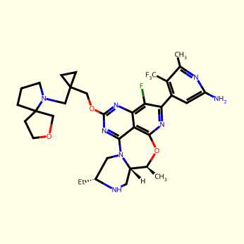 CC[C@@H]1CN2c3nc(OCC4(CN5CCCC56CCOC6)CC4)nc4c(F)c(-c5cc(N)nc(C)c5C(F)(F)F)nc(c34)O[C@@H](C)[C@@H]2CN1